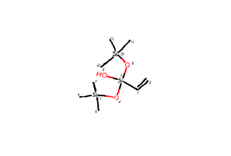 C=C[Si](O)(O[Si](C)(C)C)O[Si](C)(C)C